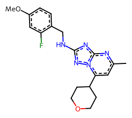 COc1ccc(CNc2nc3nc(C)cc(C4CCOCC4)n3n2)c(F)c1